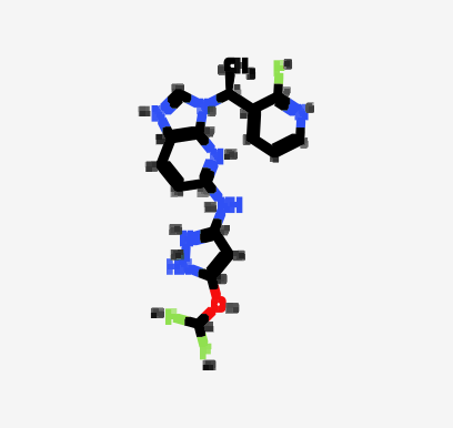 C[C@@H](c1cccnc1F)n1cnc2ccc(Nc3cc(OC(F)F)[nH]n3)nc21